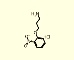 Cl.NCCCOc1ccccc1[N+](=O)[O-]